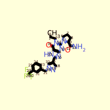 CCCn1c(N2CCCC2C(N)=O)nc2nc(-c3cnn(Cc4cccc(C(F)(F)F)c4)c3)[nH]c2c1=O